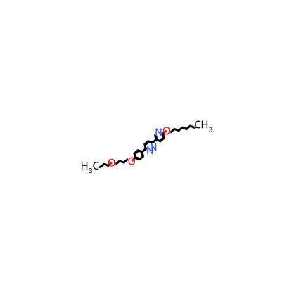 CCCCCCCCOc1ccc(-c2ccc(-c3ccc(OCCCCOCCCC)cc3)nn2)cn1